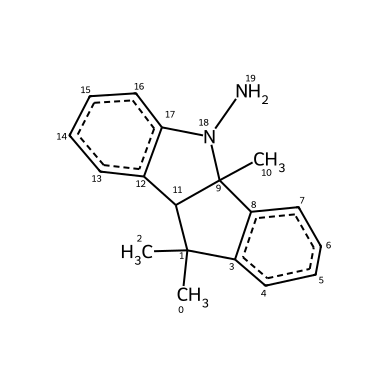 CC1(C)c2ccccc2C2(C)C1c1ccccc1N2N